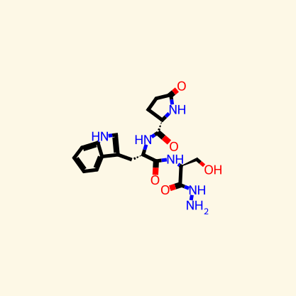 NNC(=O)[C@H](CO)NC(=O)[C@H](Cc1c[nH]c2ccccc12)NC(=O)[C@@H]1CCC(=O)N1